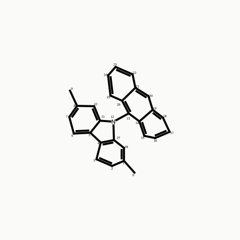 Cc1ccc2c3ccc(C)cc3n(-c3c4ccccc4cc4ccccc34)c2c1